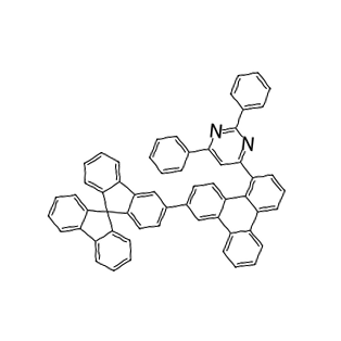 c1ccc(-c2cc(-c3cccc4c5ccccc5c5cc(-c6ccc7c(c6)-c6ccccc6C76c7ccccc7-c7ccccc76)ccc5c34)nc(-c3ccccc3)n2)cc1